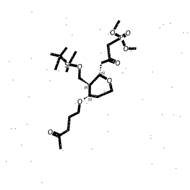 COP(=O)(CC(=O)C[C@@H]1OCC[C@H](OCCCC(C)=O)[C@H]1CO[Si](C)(C)C(C)(C)C)OC